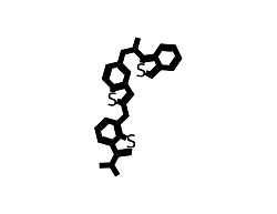 CC(C)c1csc2c(Cc3cc4cc(CC(C)c5scc6ccccc56)ccc4s3)cccc12